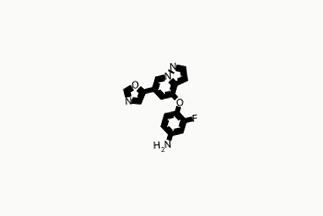 Nc1ccc(Oc2cc(-c3cnco3)cn3nccc23)c(F)c1